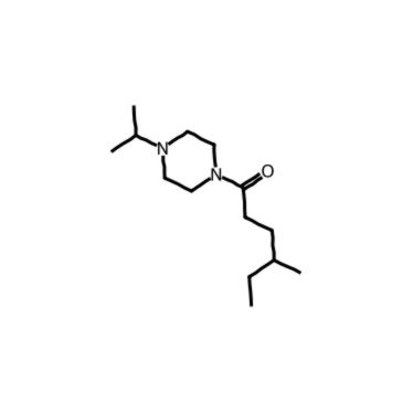 CCC(C)CCC(=O)N1CCN(C(C)C)CC1